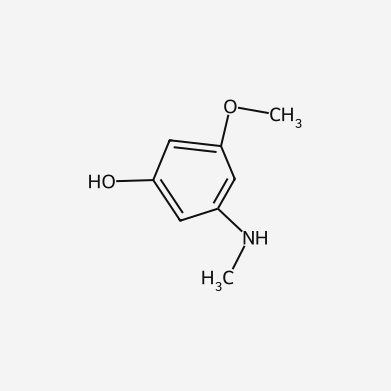 CNc1cc(O)cc(OC)c1